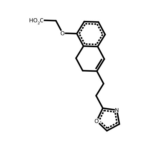 O=C(O)COc1cccc2c1CCC(CCc1ncco1)=C2